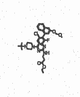 CCOC(=O)CCNc1nc(N2CCN(C(C)(C)C)CC2)c2cc(Cl)c(-c3cc(OCOC)cc4ccccc34)c(F)c2n1